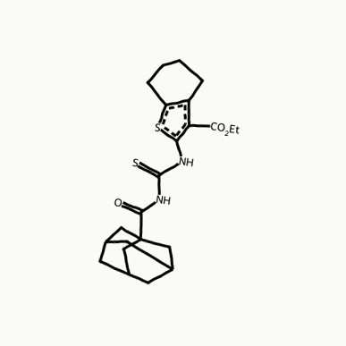 CCOC(=O)c1c(NC(=S)NC(=O)C23CC4CC(CC(C4)C2)C3)sc2c1CCCC2